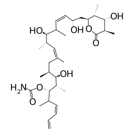 C=C/C=C\C(C)[C@H](OC(N)=O)[C@@H](C)[C@H](O)[C@@H](C)C/C(C)=C\[C@H](C)[C@@H](O)C(C)/C=C\[C@@H](O)C[C@@H]1OC(=O)[C@H](C)[C@@H](O)[C@H]1C